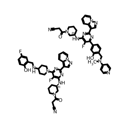 CN(Cc1ccc(-c2nc(-c3cnn4ccccc34)nc(N[C@@H]3CCCN(C(=O)CC#N)C3)c2F)cc1O)c1ccncc1.N#CCC(=O)N1CCC[C@@H](Nc2nc(-c3cnn4ccccc34)nc(N3CCC(NCc4cc(F)ccc4O)CC3)c2F)C1